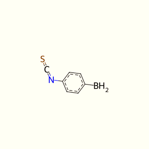 Bc1ccc(N=C=S)cc1